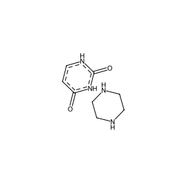 C1CNCCN1.O=c1cc[nH]c(=O)[nH]1